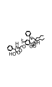 CCCCC1(CCCC)CN(c2ccccc2)c2cc(SC)c(OCC(=O)N[C@@H](C(=O)O)c3ccccc3)cc2S(=O)(=O)N1